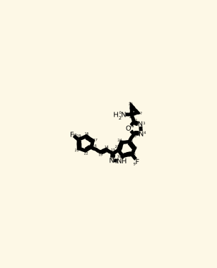 NC1(c2nnc(-c3cc(F)c4[nH]nc(C=Cc5ccc(F)cc5)c4c3)o2)CC1